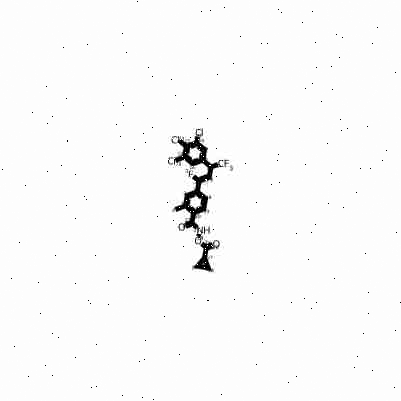 Cc1cc(/C(F)=C/C(c2cc(Cl)c(Cl)c(Cl)c2)C(F)(F)F)ccc1C(=O)NOC(=O)C1CC1